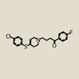 O=C(CCCN1CC=C(Sc2ccc(Cl)cc2)CC1)c1ccc(F)cc1